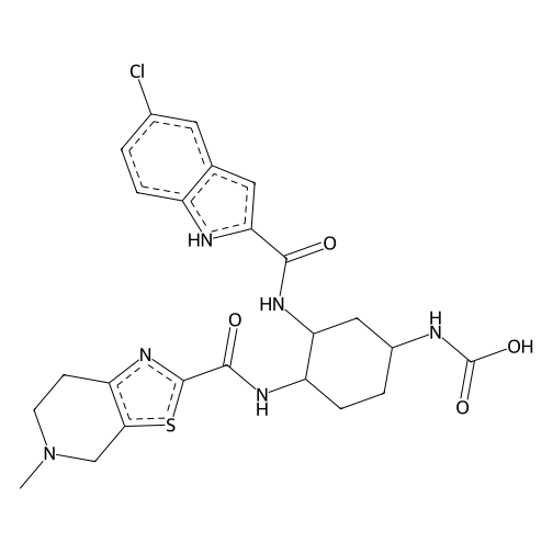 CN1CCc2nc(C(=O)NC3CCC(NC(=O)O)CC3NC(=O)c3cc4cc(Cl)ccc4[nH]3)sc2C1